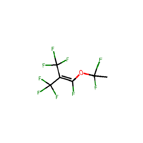 CC(F)(F)OC(F)=C(C(F)(F)F)C(F)(F)F